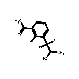 CC(=O)c1cccc(C(F)(F)C(C)O)c1F